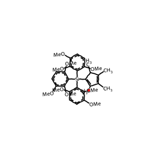 COc1ccc(OC)c([Si](C2=C(C)C(C)=C(C)C2C)(c2c(OC)ccc(OC)c2OC)c2c(OC)ccc(OC)c2OC)c1OC